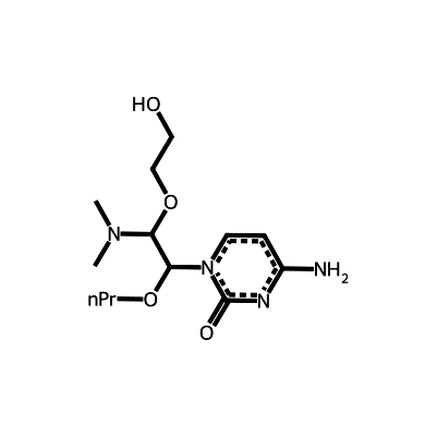 CCCOC(C(OCCO)N(C)C)n1ccc(N)nc1=O